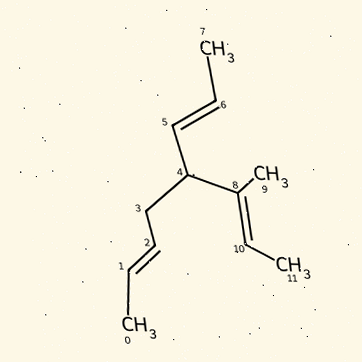 CC=CC[C](C=CC)C(C)=CC